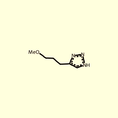 COCCCc1c[nH]nn1